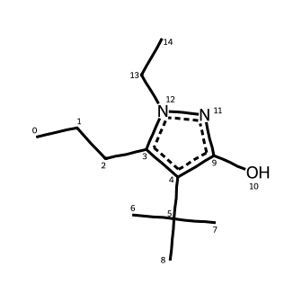 CCCc1c(C(C)(C)C)c(O)nn1CC